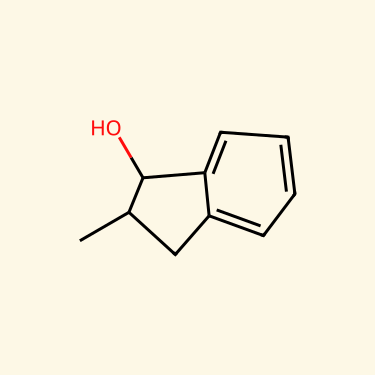 CC1Cc2ccccc2C1O